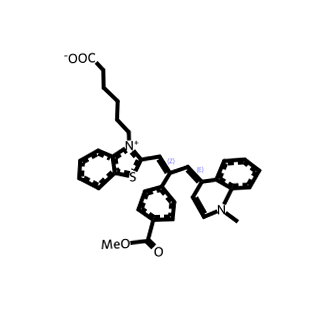 COC(=O)c1ccc(C(=C\c2sc3ccccc3[n+]2CCCCCC(=O)[O-])/C=C2\C=CN(C)c3ccccc32)cc1